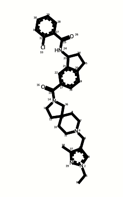 CCn1cc(CN2CCC3(CC2)CCN(C(=O)c2ccc4c(c2)C(NC(=O)c2ccccc2Cl)CC4)C3)c(C)n1